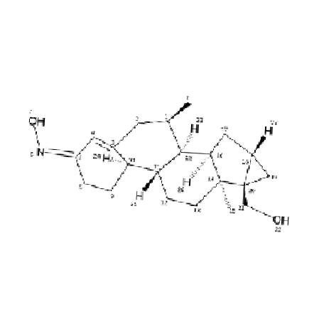 C[C@@H]1CC2=C/C(=N\O)CC[C@@H]2[C@H]2CC[C@@]3(C)[C@H](C[C@@H]4C[C@@]43CO)[C@@H]21